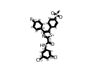 CS(=O)(=O)c1ccc(-c2sc(C(=O)Nc3cc(Cl)cc(Cl)c3)nc2-c2ccc(F)cc2)cc1